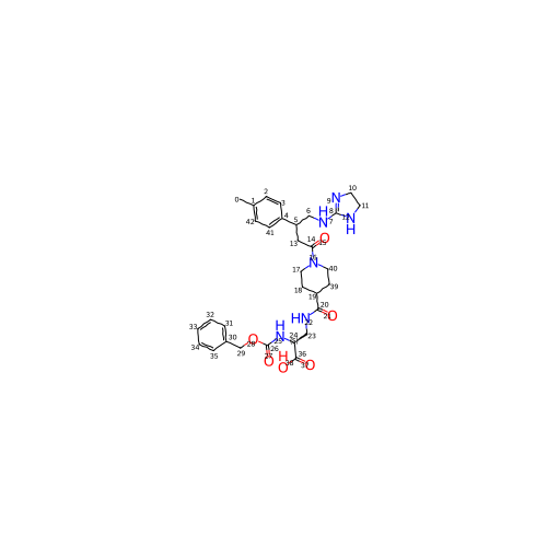 Cc1ccc(C(CNC2=NCCN2)CC(=O)N2CCC(C(=O)NC[C@H](NC(=O)OCc3ccccc3)C(=O)O)CC2)cc1